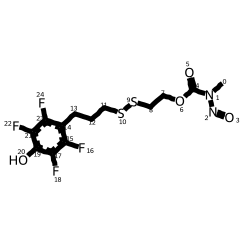 CN(N=O)C(=O)OCCSSCCCc1c(F)c(F)c(O)c(F)c1F